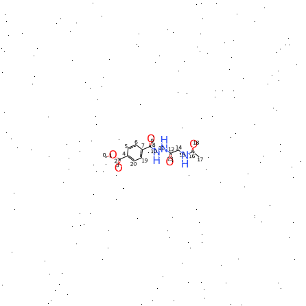 COC(=O)c1ccc(C(=O)NNC(=O)CNC(C)=O)cc1